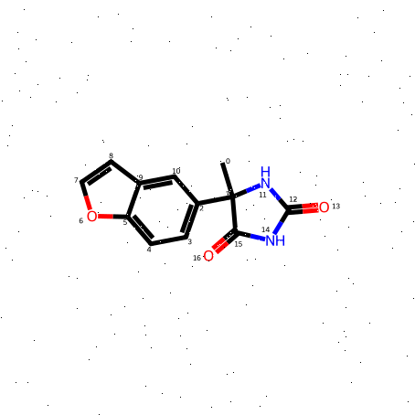 CC1(c2ccc3occc3c2)NC(=O)NC1=O